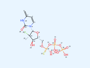 C=C1C=CN([C@@H]2O[C@H](CO[P@](O)(=S)OP(=O)(O)OP(=O)(O)O)[C@@H](O)[C@@]2(C)F)C(=O)N1